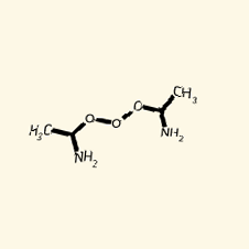 CC(N)OOOC(C)N